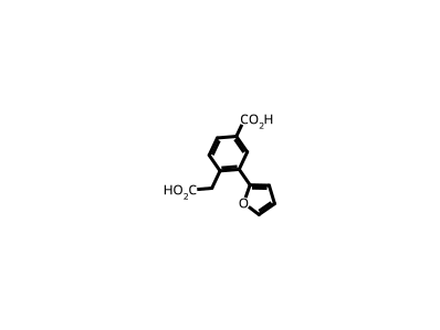 O=C(O)Cc1ccc(C(=O)O)cc1-c1ccco1